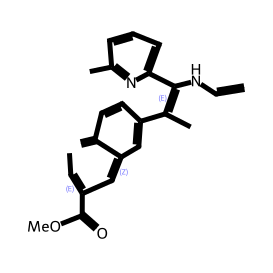 C=CN/C(=C(\C)c1ccc(=C)/c(=C\C(=C/C)C(=O)OC)c1)c1cccc(C)n1